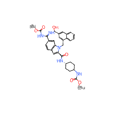 CC(C)(C)OC(=O)NC(=N)c1ccc2cc(C(=O)N[C@H]3CC[C@H](NC(=O)OC(C)(C)C)CC3)n(Cc3cc(CO)cc4ccccc34)c2c1